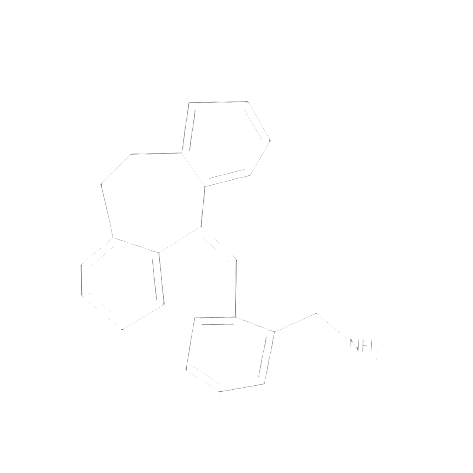 NCc1ccccc1C=C1c2ccccc2CCc2ccccc21